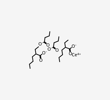 CCCC(=O)[O-].CCCC(=O)[O-].CCCCC(CC)C(=O)[O-].CCCCC(CC)C(=O)[O-].[Ce+4]